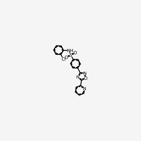 O=S(=O)(Nc1ccccc1Cl)c1ccc(-c2noc(-c3ccccn3)n2)cc1